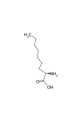 CCCCCCC[C@@H](N)C(=O)O